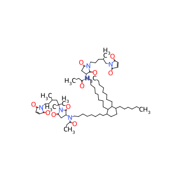 CCCCCCCCC1C(CCCCCC)CCC(CCCCCCCCN(C(=O)CC)C2CC(=O)N(C(C)(C)CC(C)CCN3C(=O)C=CC3=O)C2=O)C1CCCCCCCCN(C(=O)CC)C1CC(=O)N(CCCC(C)CN2C(=O)C=CC2=O)C1=O